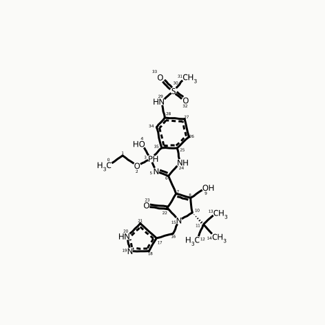 CCO[PH]1(O)N=C(C2=C(O)[C@H](C(C)(C)C)N(Cc3cn[nH]c3)C2=O)Nc2ccc(NS(C)(=O)=O)cc21